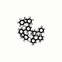 c1ccc(-c2cc(-c3cc(-c4cccc5sc6ccccc6c45)cc(-c4cccc5sc6ccccc6c45)c3)nc(-c3ccccc3-c3cccnc3)n2)cc1